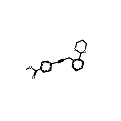 COC(=O)c1ccc(C#CCc2ccccc2C2SCCCS2)cc1